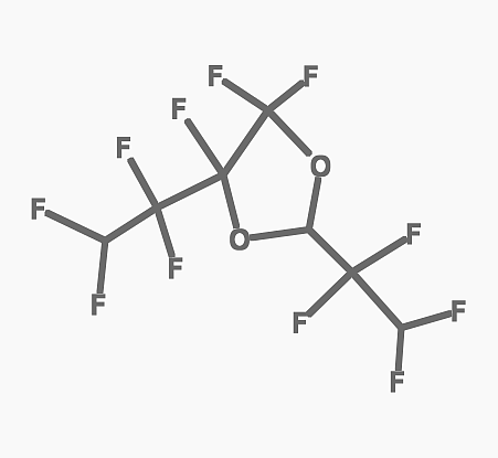 FC(F)C(F)(F)C1OC(F)(F)C(F)(C(F)(F)C(F)F)O1